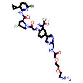 CC(=O)c1nn(CC(=O)N2C[C@H](F)C[C@H]2C(=O)Nc2nc(Br)ccc2C2CC2)c2ccc(-c3cnc(CNC(=O)COCCOCCN)nc3)cc12